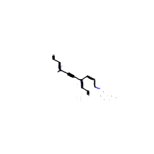 C=C/C=C(\C)C#CC(/C=C\CNNC)=C/C=C